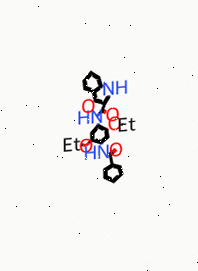 CCOc1cc(NC(=O)c2c[nH]c3ccccc3c2=O)c(OCC)cc1NC(=O)c1ccccc1